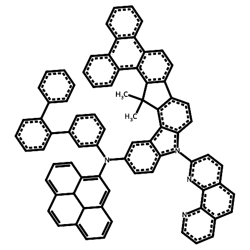 CC1(C)c2c(ccc3c4ccccc4c4ccccc4c23)-c2ccc3c(c21)c1cc(N(C2=C4C=CC=C5C=CC6=CC=CC(=C2)C6C54)c2cccc(-c4ccccc4-c4ccccc4)c2)ccc1n3-c1ccc2ccc3cccnc3c2n1